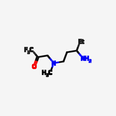 CCC(N)CCN(C)CC(=O)C(F)(F)F